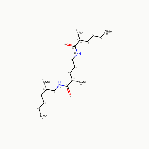 CNCCC[C@@H](CNC(=O)[C@H](CCCNC(=O)[C@H](CCCNC)NC)NC)NC